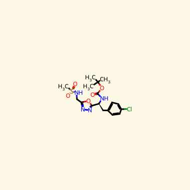 CC(C)(C)OC(=O)N[C@@H](Cc1ccc(Cl)cc1)c1nnc(CNS(C)(=O)=O)o1